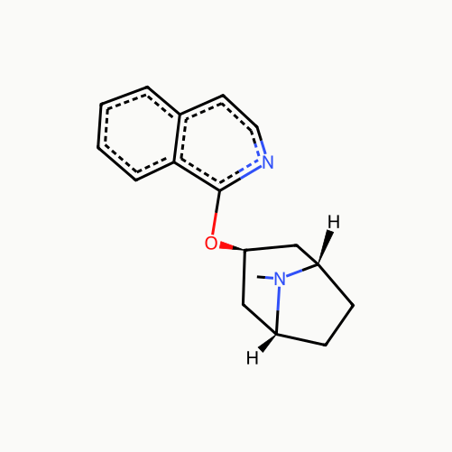 CN1[C@@H]2CC[C@H]1C[C@H](Oc1nccc3ccccc13)C2